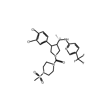 C[C@H](Nc1ccc(C(F)(F)F)cn1)C1CN(C(=O)N2CCN(S(C)(=O)=O)CC2)CC1c1ccc(Cl)c(Cl)c1